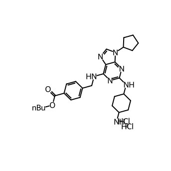 CCCCOC(=O)c1ccc(CNc2nc(NC3CCC(N)CC3)nc3c2ncn3C2CCCC2)cc1.Cl.Cl